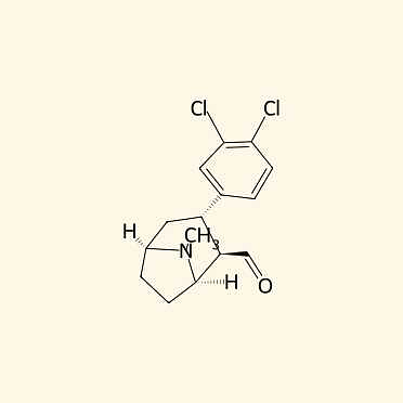 CN1[C@H]2CC[C@@H]1[C@H](C=O)[C@@H](c1ccc(Cl)c(Cl)c1)C2